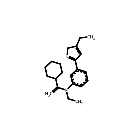 C=C(C1CCCCC1)N(CC)c1cccc(C2=NCC(CC)=C2)c1